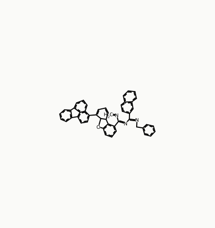 C=N/C(=N\C(=N/Cc1ccccc1)c1ccc2ccccc2c1)c1cccc2c1C1C=CC=C(c3ccc4c5c(cccc35)-c3ccccc3-4)C1O2